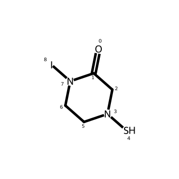 O=C1CN(S)CCN1I